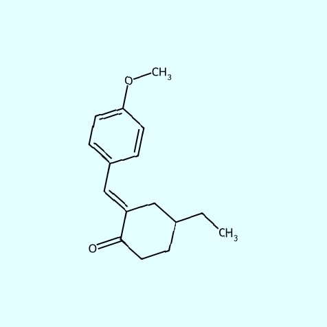 CCC1CCC(=O)C(=Cc2ccc(OC)cc2)C1